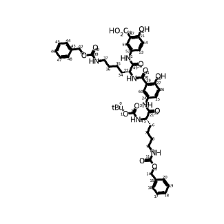 CC(C)(C)OC(=O)N[C@@H](CCCCNC(=O)OCc1ccccc1)C(=O)Nc1ccc(O)c(C(=O)N[C@@H](CCCCNC(=O)OCc2ccccc2)C(=O)Nc2ccc(O)c(C(=O)O)c2)c1